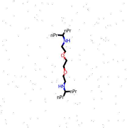 CCCC(CCC)NCCOCCOCCNC(CCC)CCC